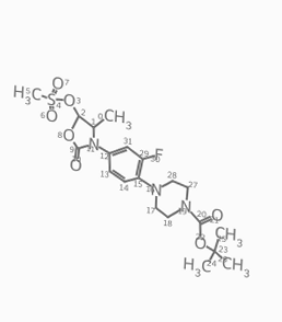 CC1C(OS(C)(=O)=O)OC(=O)N1c1ccc(N2CCN(C(=O)OC(C)(C)C)CC2)c(F)c1